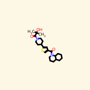 CC(C)(O)C(=O)N1CCC(c2cc(C(=O)N3CCCC4CCCCC43)cs2)CC1